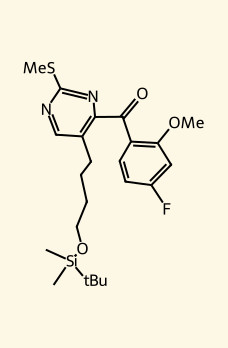 COc1cc(F)ccc1C(=O)c1nc(SC)ncc1CCCCO[Si](C)(C)C(C)(C)C